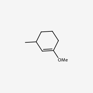 COC1=CC(C)CCC1